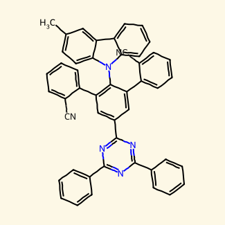 Cc1ccc2c(c1)c1ccccc1n2-c1c(-c2ccccc2C#N)cc(-c2nc(-c3ccccc3)nc(-c3ccccc3)n2)cc1-c1ccccc1C#N